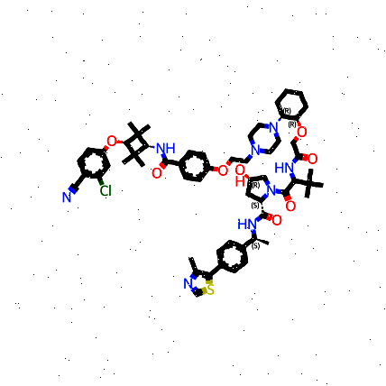 Cc1ncsc1-c1ccc([C@H](C)NC(=O)[C@@H]2C[C@@H](O)CN2C(=O)C(NC(=O)CO[C@@H]2CCCC[C@H]2N2CCN(CCOc3ccc(C(=O)N[C@H]4C(C)(C)[C@H](Oc5ccc(C#N)c(Cl)c5)C4(C)C)cc3)CC2)C(C)(C)C)cc1